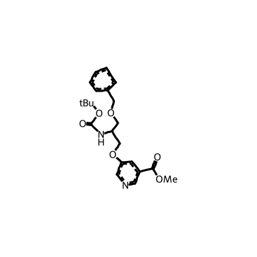 COC(=O)c1cncc(OCC(COCc2ccccc2)NC(=O)OC(C)(C)C)c1